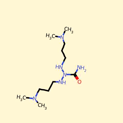 CN(C)CCCNN(NCCCN(C)C)C(N)=O